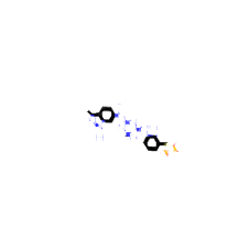 Cc1n[nH]c2cc(Nc3ncnc(Nc4cccc(CS(C)(=O)=O)c4)n3)ccc12